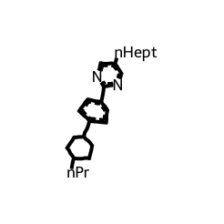 CCCCCCCc1cnc(-c2ccc(C3CCC(CCC)CC3)cc2)nc1